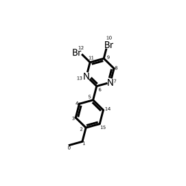 CCc1ccc(-c2ncc(Br)c(Br)n2)cc1